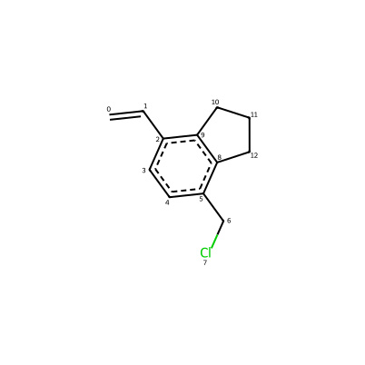 C=Cc1ccc(CCl)c2c1CCC2